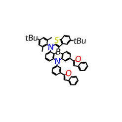 Cc1cc(C(C)(C)C)cc(C)c1N1c2cccc3c2B(c2ccc(-c4cc5ccccc5o4)cc2N3c2cccc(-c3cc4ccccc4o3)c2)c2c1sc1ccc(C(C)(C)C)cc21